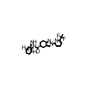 CC(F)(F)c1cccc(-n2cc3c(n2)CC[C@H](C(=O)N[C@@H]2C[C@@H]4CC[C@H]2N4C#N)C3)n1